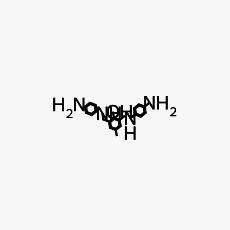 Cc1cc(CNc2ccc(N)cc2)c(O)c(CNc2ccc(N)cc2)c1